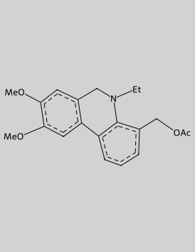 CCN1Cc2cc(OC)c(OC)cc2-c2cccc(COC(C)=O)c21